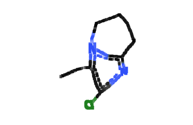 Cc1c(Cl)nc2n1CCC2